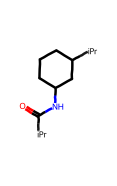 CC(C)C(=O)NC1CCCC(C(C)C)C1